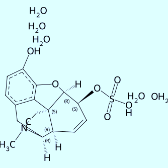 CN1CC[C@]23c4c5ccc(O)c4O[C@H]2[C@@H](OS(=O)(=O)O)C=C[C@H]3[C@H]1C5.O.O.O.O.O